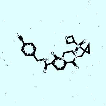 N#Cc1ccc(CNC(=O)c2ccc3n(c2=O)CCN(CC2(S(=O)(=O)C4COC4)CC2)C3=O)cc1